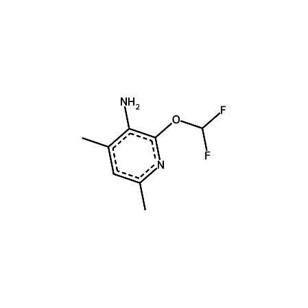 Cc1cc(C)c(N)c(OC(F)F)n1